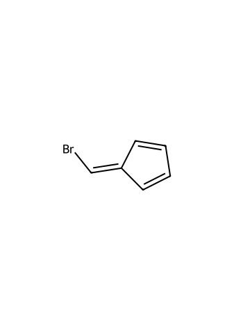 BrC=C1C=CC=C1